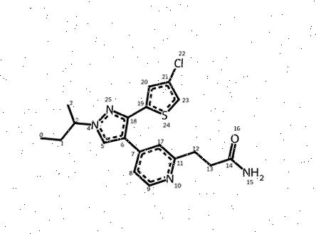 CCC(C)n1cc(-c2ccnc(CCC(N)=O)c2)c(-c2cc(Cl)cs2)n1